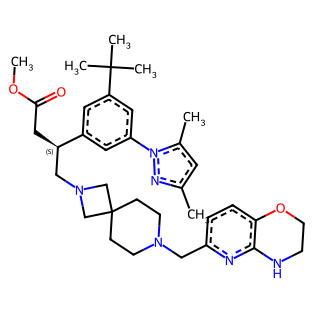 COC(=O)C[C@H](CN1CC2(CCN(Cc3ccc4c(n3)NCCO4)CC2)C1)c1cc(-n2nc(C)cc2C)cc(C(C)(C)C)c1